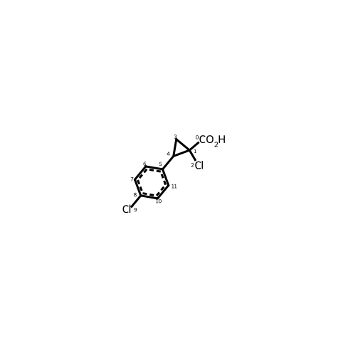 O=C(O)C1(Cl)CC1c1ccc(Cl)cc1